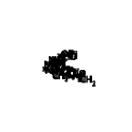 C=CC(=O)N1CCC2(CC=C(c3c(-c4ncc(OC5CCOC5)cn4)c4c(N)ncnc4n3C)CC2)CC1